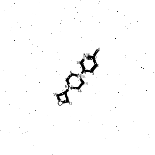 Cc1ccc(N2CCN(C3COC3)CC2)cn1